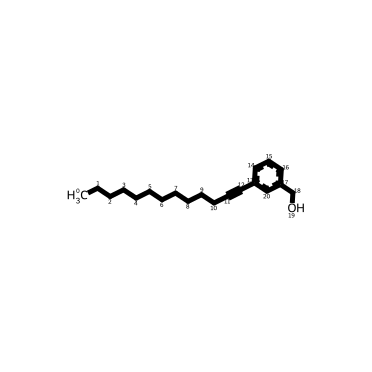 CCCCCCCCCCCC#Cc1cccc(CO)c1